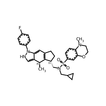 C[C@H]1C2=CNN(c3ccc(F)cc3)C2=CC2=C1[C@@H](CN(CC1CC1)S(=O)(=O)c1ccc3c(c1)OCCN3C)CC2